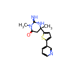 CN1C(=N)N[C@](C)(c2ccc(-c3cccnc3)s2)CC1=O